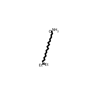 CCN(CC)CCCCCCCCCCCCCCCCC(N)=O